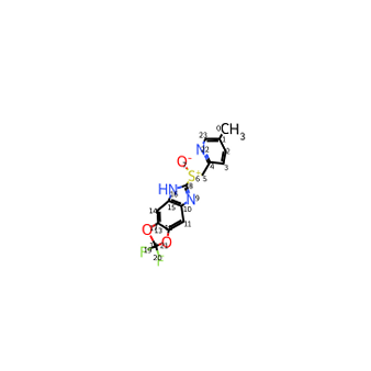 Cc1ccc(C[S+]([O-])c2nc3cc4c(cc3[nH]2)OC(F)(F)O4)nc1